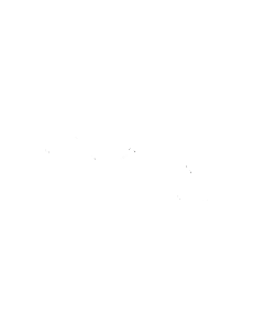 CC1CN(c2ccc(-c3ncccn3)cn2)CCN1